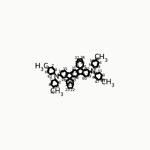 Cc1ccc(N(c2ccc(C)cc2)c2ccc3c(c2)C2(CC4CCC(C4)C2)c2cc4c(cc2-3)C2(CC3CCC(C3)C2)c2cc(N(c3ccc(C)cc3)c3ccc(C)cc3)ccc2-4)cc1